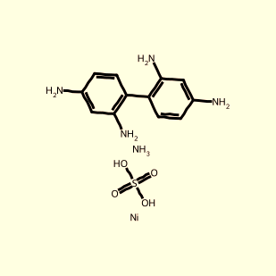 N.Nc1ccc(-c2ccc(N)cc2N)c(N)c1.O=S(=O)(O)O.[Ni]